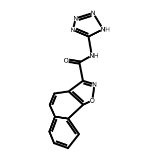 O=C(Nc1nnn[nH]1)c1noc2c1ccc1ccccc12